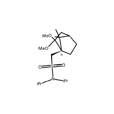 COC1(OC)CC2CC[C@@]1(CS(=O)(=O)N(C(C)C)C(C)C)C2(C)C